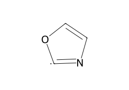 [c]1ncco1